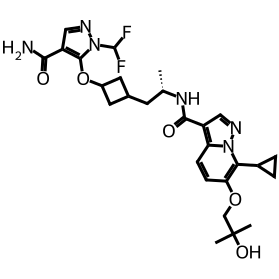 C[C@@H](CC1CC(Oc2c(C(N)=O)cnn2C(F)F)C1)NC(=O)c1cnn2c(C3CC3)c(OCC(C)(C)O)ccc12